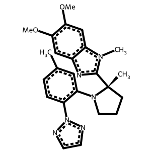 COc1cc2nc([C@]3(C)CCCN3c3cc(C)c[c]c3-n3nccn3)n(C)c2cc1OC